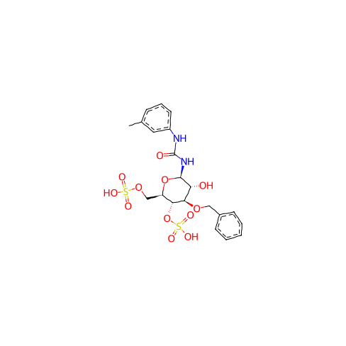 Cc1cccc(NC(=O)N[C@@H]2O[C@H](COS(=O)(=O)O)[C@@H](OS(=O)(=O)O)[C@H](OCc3ccccc3)[C@H]2O)c1